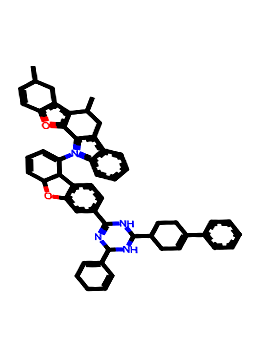 CC1C=Cc2oc3c(c2C1)C(C)Cc1c-3n(C2=CC=CC3Oc4cc(C5=NC(C6=CCCC=C6)NC(C6CC=C(c7ccccc7)CC6)N5)ccc4C23)c2ccccc12